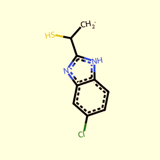 [CH2]C(S)c1nc2cc(Cl)ccc2[nH]1